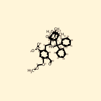 COCOc1cc([N+](=O)[O-])c(CC(NC(c2ccccc2)(c2ccccc2)c2ccccc2)C(=O)OC(C)(C)C)cc1C=O